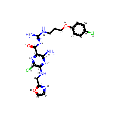 N/C(=N\C(=O)c1nc(Cl)c(NCc2ncco2)nc1N)NCCCOc1ccc(Cl)cc1